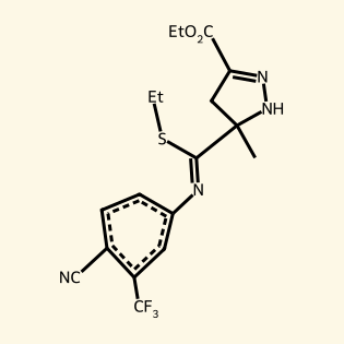 CCOC(=O)C1=NNC(C)(/C(=N/c2ccc(C#N)c(C(F)(F)F)c2)SCC)C1